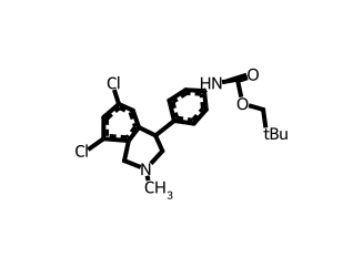 CN1Cc2c(Cl)cc(Cl)cc2C(c2ccc(NC(=O)OCC(C)(C)C)cc2)C1